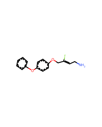 NCC=C(F)COc1ccc(Oc2ccccc2)cc1